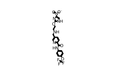 O=C(Nc1ccc(OC(F)(F)F)cc1)c1ccc(CNCCOc2nc([N+](=O)[O-])c[nH]2)cn1